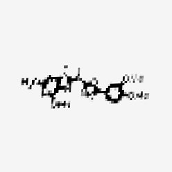 COc1ccc(-c2nnc(Nc3nc4c(OC)nc(C)cc4[nH]3)o2)cc1OC